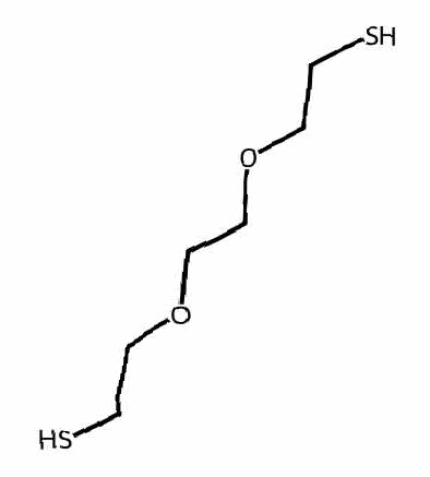 SCCOCCOCCS